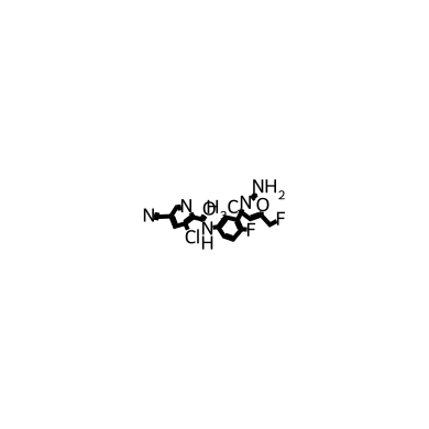 C[C@@]1(c2cc(NC(=O)c3ncc(C#N)cc3Cl)ccc2F)C=C(CF)OC(N)=N1